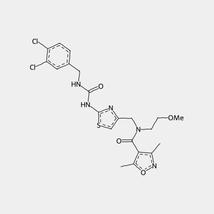 COCCN(Cc1csc(NC(=O)NCc2ccc(Cl)c(Cl)c2)n1)C(=O)c1c(C)noc1C